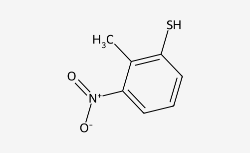 Cc1c(S)cccc1[N+](=O)[O-]